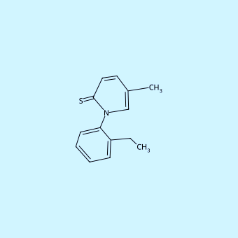 CCc1ccccc1-n1cc(C)ccc1=S